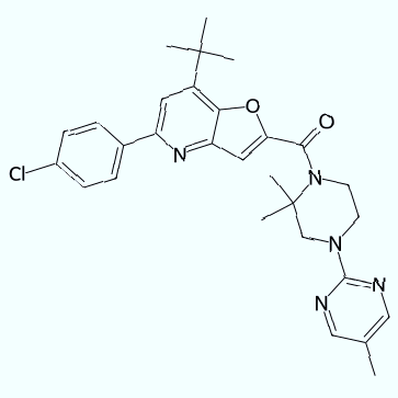 Cc1cnc(N2CCN(C(=O)c3cc4nc(-c5ccc(Cl)cc5)cc(C(C)(C)C)c4o3)C(C)(C)C2)nc1